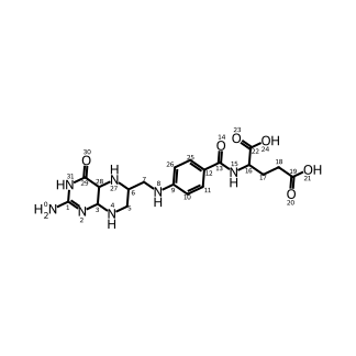 NC1=NC2NCC(CNc3ccc(C(=O)NC(CCC(=O)O)C(=O)O)cc3)NC2C(=O)N1